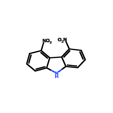 O=[N+]([O-])c1cccc2[nH]c3cccc([N+](=O)[O-])c3c12